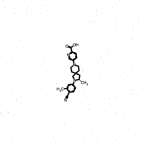 Cc1cc(N2CC3(CCN(c4ccc(C(=O)O)nc4)CC3)C[C@@H]2C)ccc1C#N